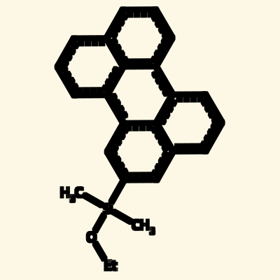 CCO[Si](C)(C)c1cc2cccc3c4cccc5cccc(c(c1)c23)c54